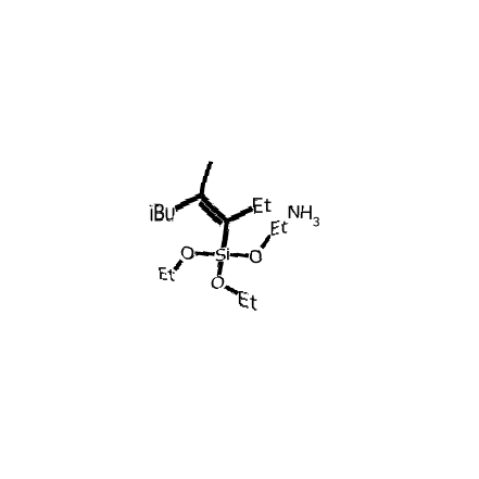 CCO[Si](OCC)(OCC)C(CC)=C(C)C(C)CC.N